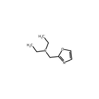 CCN(CC)Cc1ncco1